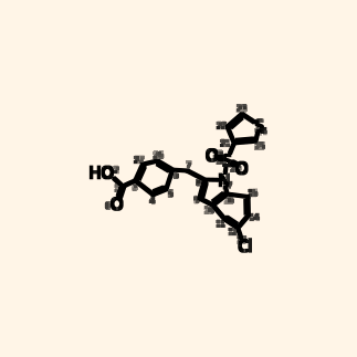 O=C(O)c1ccc(Cc2cc3cc(Cl)ccc3n2S(=O)(=O)c2ccsc2)cc1